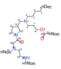 CCCCCCCCCCCCCCN(CCCOC(=O)CCCCCCCCC)CC1CCN(C(=O)CN(CCCCCCCCC)CCNCCCCCCCCC)C1